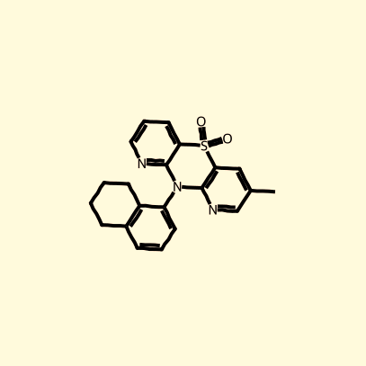 Cc1cnc2c(c1)S(=O)(=O)c1cccnc1N2c1cccc2c1CCCC2